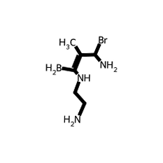 B/C(NCCN)=C(\C)C(N)Br